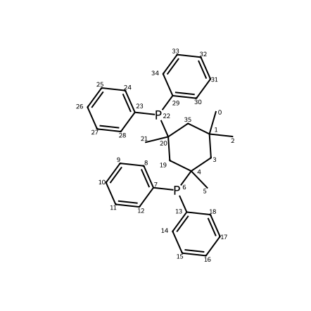 CC1(C)CC(C)(P(c2ccccc2)c2ccccc2)CC(C)(P(c2ccccc2)c2ccccc2)C1